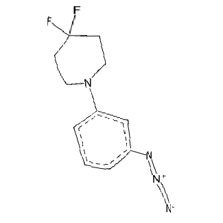 [N-]=[N+]=Nc1cccc(N2CCC(F)(F)CC2)c1